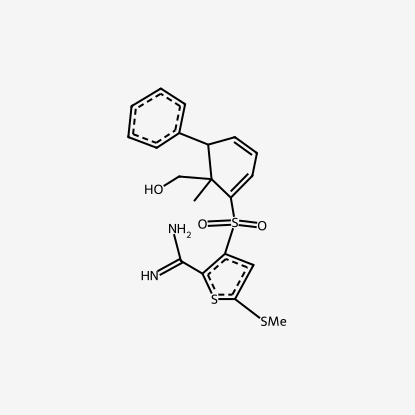 CSc1cc(S(=O)(=O)C2=CC=CC(c3ccccc3)C2(C)CO)c(C(=N)N)s1